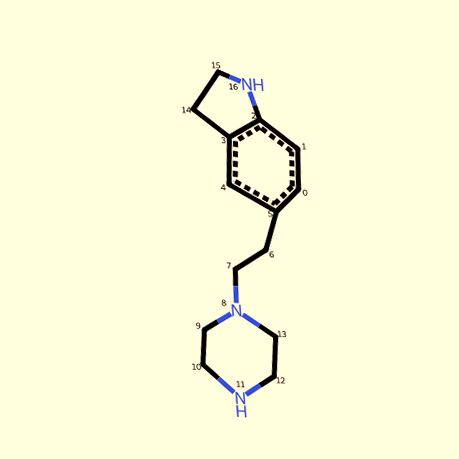 c1cc2c(cc1CCN1CCNCC1)CCN2